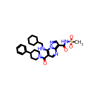 CS(=O)(=O)NC(=O)c1cnn2c(NCC3CCCCC3)c(C(=O)N3CCC(c4ccccc4)CC3)cnc12